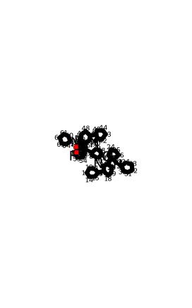 Fc1cc(F)cc(-c2cc(-n3c4ccccc4c4ccc5c(c6ccccc6n5-c5ccccc5)c43)c(C(F)(F)F)cc2-n2c3ccccc3c3ccc4c(c5ccccc5n4-c4ccccc4)c32)c1